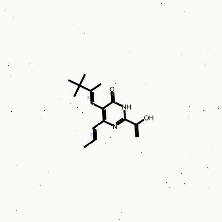 C=C(O)c1nc(/C=C/C)c(/C=C(\C)C(C)(C)C)c(=O)[nH]1